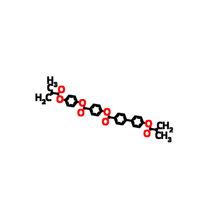 C=C(C)C(=O)Oc1ccc(OC(=O)c2ccc(OC(=O)c3ccc(-c4ccc(OC(=O)C(=C)C)cc4)cc3)cc2)cc1